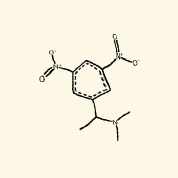 CC(c1cc([N+](=O)[O-])cc([N+](=O)[O-])c1)N(C)C